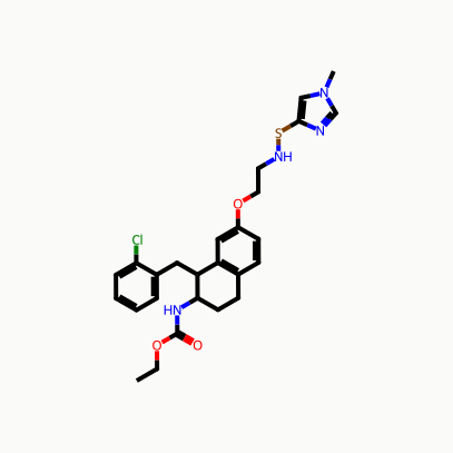 CCOC(=O)NC1CCc2ccc(OCCNSc3cn(C)cn3)cc2C1Cc1ccccc1Cl